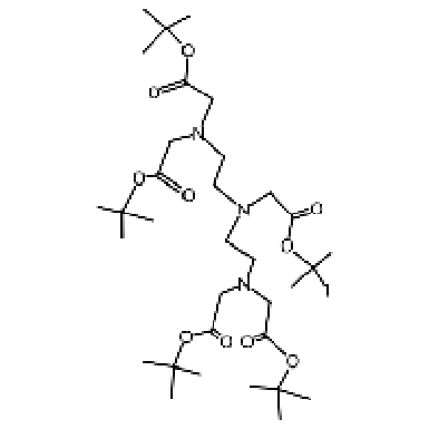 CC(C)(C)OC(=O)CN(CCN(CCN(CC(=O)OC(C)(C)C)CC(=O)OC(C)(C)C)CC(=O)OC(C)(C)I)CC(=O)OC(C)(C)C